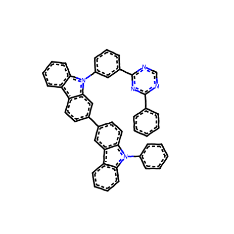 c1ccc(-c2ncnc(-c3cccc(-n4c5ccccc5c5ccc(-c6ccc7c(c6)c6ccccc6n7-c6ccccc6)cc54)c3)n2)cc1